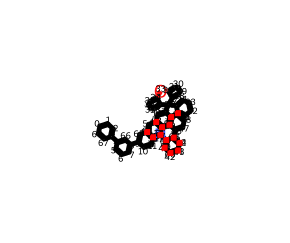 c1ccc(-c2cccc(-c3ccc(N(c4ccc5c(c4)-c4ccccc4C54c5ccccc5Oc5ccccc54)c4ccccc4-c4ccccc4-c4ccccc4-c4ccccc4)cc3)c2)cc1